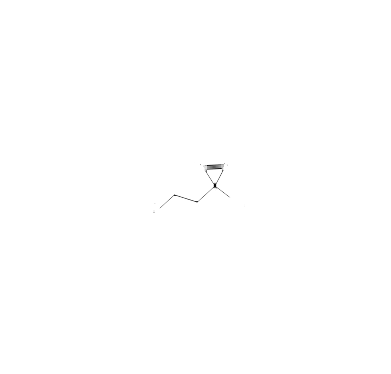 CC(C)(C)CCC1(C(F)(F)F)N=N1